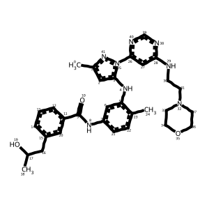 Cc1cc(Nc2cc(NC(=O)c3cccc(CC(C)O)c3)ccc2C)n(-c2cc(NCCN3CCOCC3)ncn2)n1